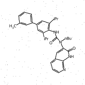 CCCCN(C(=O)Nc1c(C(C)C)cc(-c2cccc(C)c2)cc1C(C)C)c1cc2cccnc2[nH]c1=O